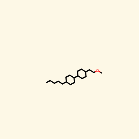 CCCCCC1CCC(C2CCC(CCOC)CC2)CC1